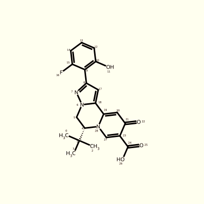 CC(C)(C)[C@@H]1Cn2nc(-c3c(O)cccc3F)cc2-c2cc(=O)c(C(=O)O)cn21